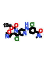 CN(C)C(=O)c1ccc(Nc2cc3c(cn2)c(Cl)c(-c2cnco2)n3C(=O)OC(C)(C)C)c(Cl)c1